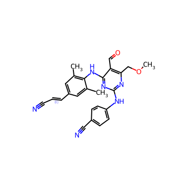 COCc1nc(Nc2ccc(C#N)cc2)nc(Nc2c(C)cc(/C=C/C#N)cc2C)c1C=O